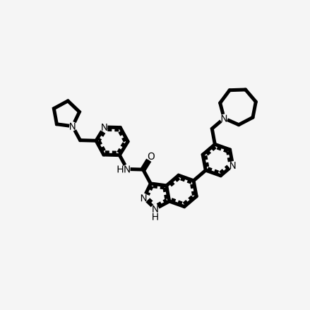 O=C(Nc1ccnc(CN2CCCC2)c1)c1n[nH]c2ccc(-c3cncc(CN4CCCCCC4)c3)cc12